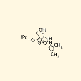 Cc1ccc(NC(=O)C[C@H](CCO)c2noc([C@H]3C[C@@H](CC(C)C)C3)c2C2CC2)c(C)c1